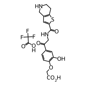 O=C(O)C(F)(F)F.O=C(O)COc1ccc(C(=O)CNC(=O)c2cc3c(s2)CCNC3)cc1O